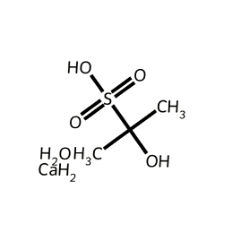 CC(C)(O)S(=O)(=O)O.O.[CaH2]